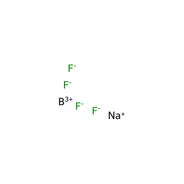 [B+3].[F-].[F-].[F-].[F-].[Na+]